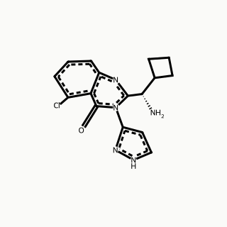 N[C@H](c1nc2cccc(Cl)c2c(=O)n1-c1cc[nH]n1)C1CCC1